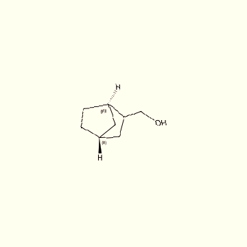 OCC1C[C@@H]2CC[C@@H]1C2